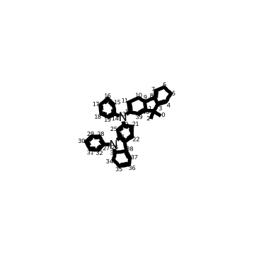 CC1(C)C2=CCCC=C2C2CC=C(N(c3ccccc3)c3ccc4c(c3)N(c3ccccc3)C3CC=CC=C43)C=C21